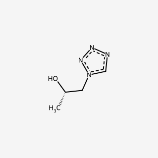 C[C@H](O)Cn1cnnn1